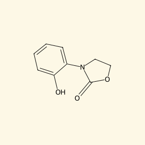 O=C1OCCN1c1ccccc1O